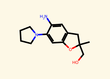 CC1(CO)Cc2cc(N)c(N3CCCC3)cc2O1